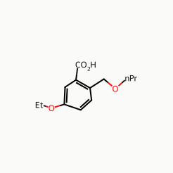 CCCOCc1ccc(OCC)cc1C(=O)O